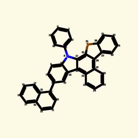 c1ccc(-n2c3ccc(-c4cccc5ccccc45)cc3c3c4ccccc4c4c5ccccc5sc4c32)cc1